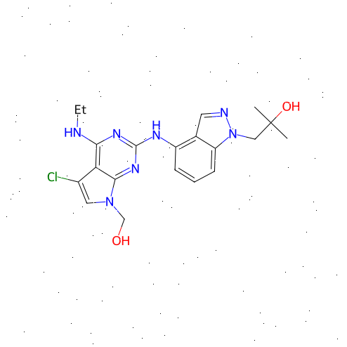 CCNc1nc(Nc2cccc3c2cnn3CC(C)(C)O)nc2c1c(Cl)cn2CO